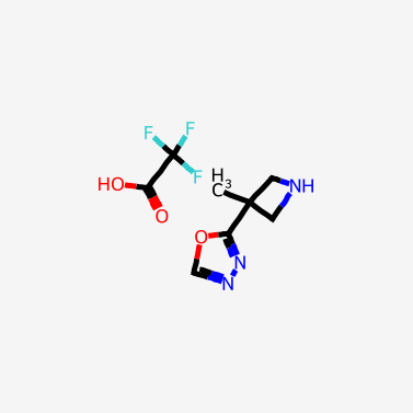 CC1(c2nnco2)CNC1.O=C(O)C(F)(F)F